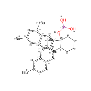 CC(C)(C)c1ccc2cc(C3CCCCC3(OP(O)O)c3cc4c(C(C)(C)C)cc(C(C)(C)C)cc4cc3C(C)(C)C)c(C(C)(C)C)cc2c1